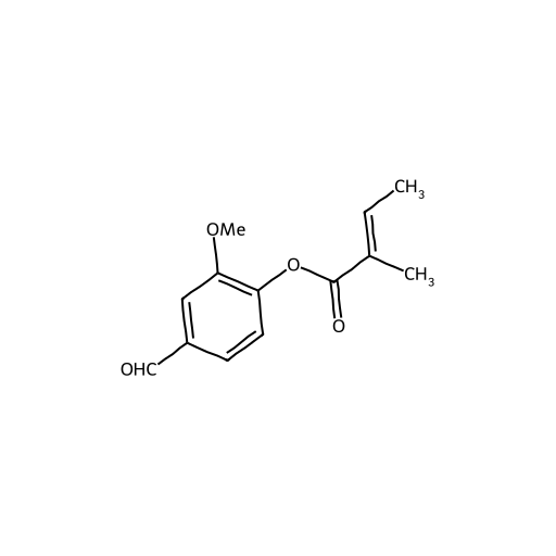 CC=C(C)C(=O)Oc1ccc(C=O)cc1OC